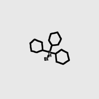 CC[PH](C1CCCCC1)(C1CCCCC1)C1CCCCC1